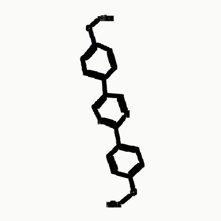 CCCCCCCCOc1ccc(-c2ncc(-c3ccc(OCCCCCC)cc3)cn2)cc1